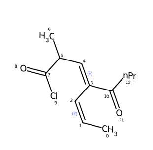 C/C=C\C(=C/C(C)C(=O)Cl)C(=O)CCC